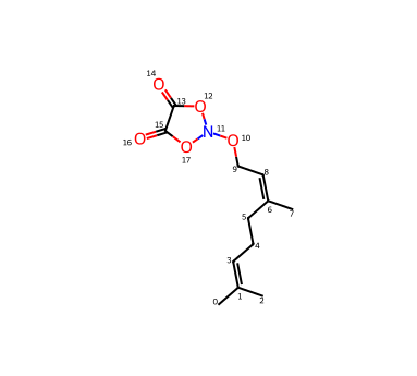 CC(C)=CCCC(C)=CCOn1oc(=O)c(=O)o1